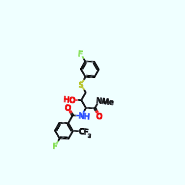 CNC(=O)C(NC(=O)c1ccc(F)cc1C(F)(F)F)C(O)CSc1cccc(F)c1